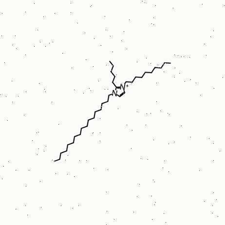 CCCCCCCCCCCCCCCCCn1cc[n+](CCCCCCCCCC)c1CCCCC